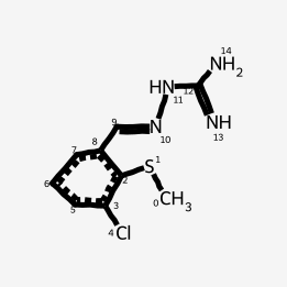 CSc1c(Cl)cccc1/C=N/NC(=N)N